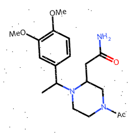 COc1ccc(C(C)N2CCN(C(C)=O)CC2CC(N)=O)cc1OC